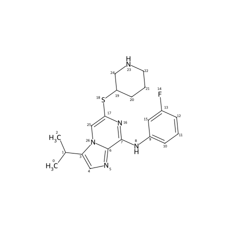 CC(C)c1cnc2c(Nc3cccc(F)c3)nc(SC3CCCNC3)cn12